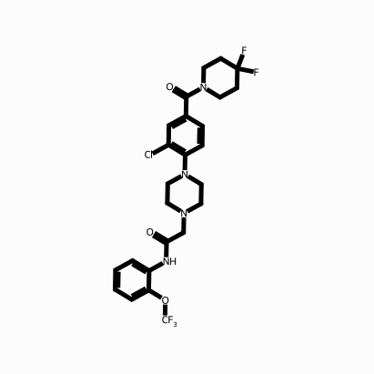 O=C(CN1CCN(c2ccc(C(=O)N3CCC(F)(F)CC3)cc2Cl)CC1)Nc1ccccc1OC(F)(F)F